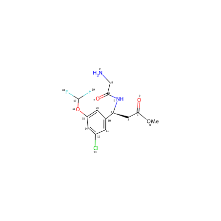 COC(=O)C[C@H](NC(=O)CN)c1cc(Cl)cc(OC(F)F)c1